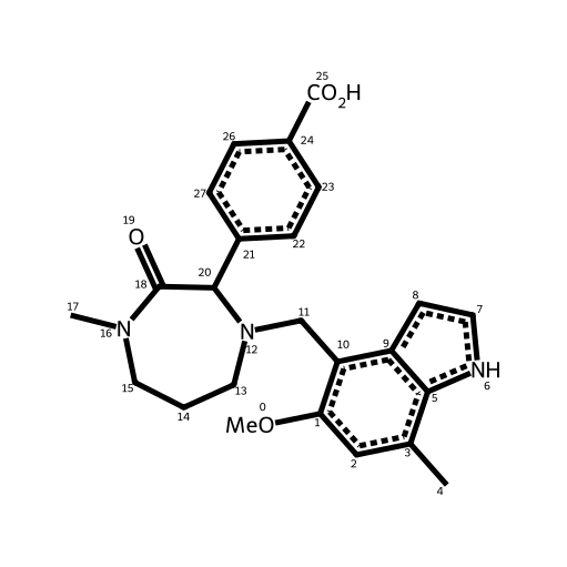 COc1cc(C)c2[nH]ccc2c1CN1CCCN(C)C(=O)C1c1ccc(C(=O)O)cc1